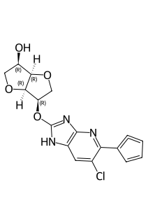 O[C@@H]1CO[C@H]2[C@@H]1OC[C@H]2Oc1nc2nc(C3=C=CC=C3)c(Cl)cc2[nH]1